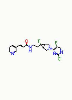 O=C(/C=C/c1cccnc1)NCCC1(F)C2CN(c3nc(Cl)ncc3F)CC21